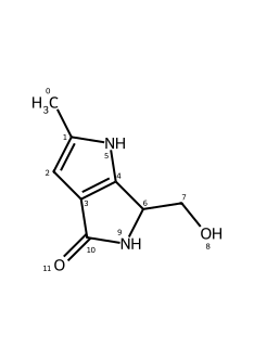 Cc1cc2c([nH]1)C(CO)NC2=O